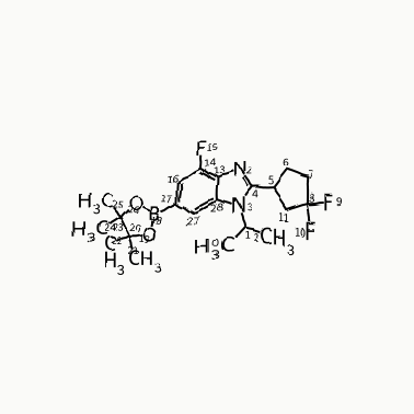 CC(C)n1c(C2CCC(F)(F)C2)nc2c(F)cc(B3OC(C)(C)C(C)(C)O3)cc21